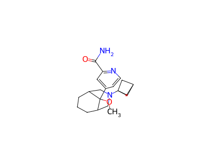 COC1(c2ccnc(C(N)=O)c2)C2CCCC1CN(C13CC(C1)C3)C2